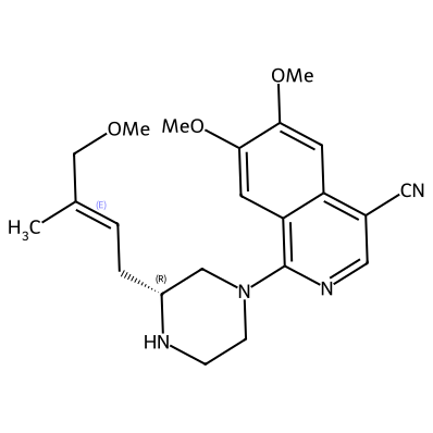 COC/C(C)=C/C[C@@H]1CN(c2ncc(C#N)c3cc(OC)c(OC)cc23)CCN1